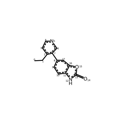 CCc1ccncc1-c1ccc2[nH]c(=O)oc2c1